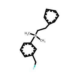 C[Si](C)(CCc1ccccc1)c1cccc(CF)c1